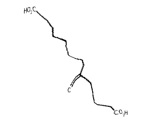 O=C(O)CCCCCC(=O)CCCC(=O)O